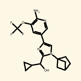 Nc1ncc(-c2cn(C34CCC(C3)C4)c(C(O)C3CC3)n2)cc1OC(F)(F)F